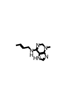 CC=CCNC1=NCN(C)c2nc[nH]c21